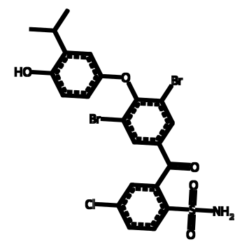 CC(C)c1cc(Oc2c(Br)cc(C(=O)c3cc(Cl)ccc3S(N)(=O)=O)cc2Br)ccc1O